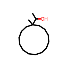 CC(O)C1(C)CCCCCCCCCCCCC1